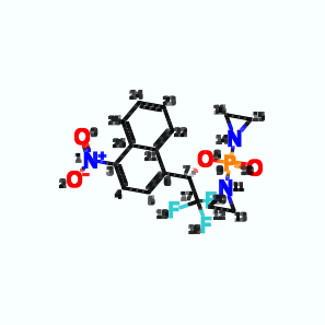 O=[N+]([O-])c1ccc([C@H](OP(=O)(N2CC2)N2CC2)C(F)(F)F)c2ccccc12